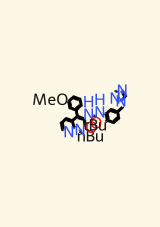 CCCCn1c(=O)c(NC(=O)Nc2cc(Cn3cncn3)ccc2C(C)(C)C)c(-c2cccc(OC)c2)c2cccnc21